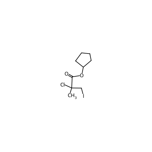 CC(Cl)(CI)C(=O)OC1CCCC1